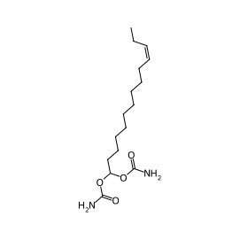 CC/C=C\CCCCCCCCCC(OC(N)=O)OC(N)=O